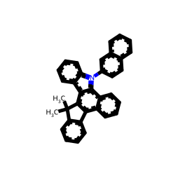 CC1(C)c2ccccc2-c2c1c1c3ccccc3n(-c3ccc4ccccc4c3)c1c1ccccc21